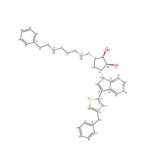 O[C@@H]1[C@@H](CNCCCNCCc2ccccc2)C[C@@H](n2cc(-c3nc(Cc4ccccc4)cs3)c3cncnc32)[C@@H]1O